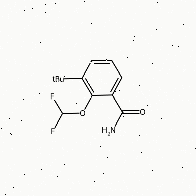 CC(C)(C)c1cccc(C(N)=O)c1OC(F)F